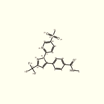 CNC(=O)c1ccc(-c2cc(C(F)(F)F)nn2-c2ccc(S(C)(=O)=O)cn2)cc1